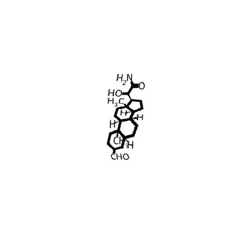 C[C@]12CCC(C=O)C[C@@H]1CC[C@@H]1[C@@H]2CC[C@]2(C)[C@@H](C(O)C(N)=O)CC[C@@H]12